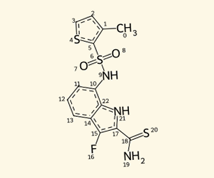 Cc1ccsc1S(=O)(=O)Nc1cccc2c(F)c(C(N)=S)[nH]c12